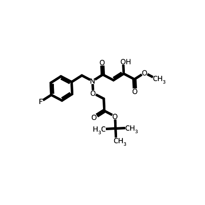 COC(=O)C(O)=CC(=O)N(Cc1ccc(F)cc1)OCC(=O)OC(C)(C)C